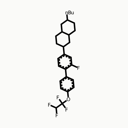 CCCCC1CCC2CC(c3ccc(-c4ccc(OC(F)(F)C(F)F)cc4)c(F)c3)CCC2C1